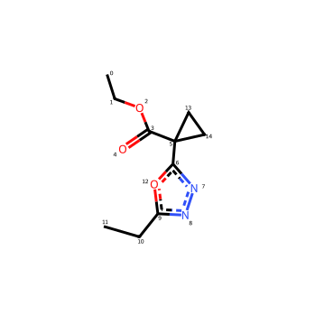 CCOC(=O)C1(c2nnc(CC)o2)CC1